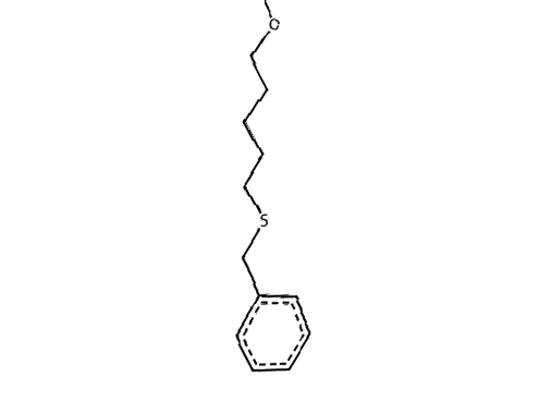 O=C(O)OCCCCCSCc1ccccc1